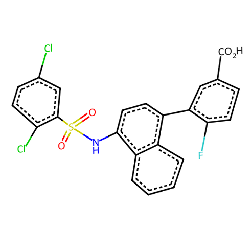 O=C(O)c1ccc(F)c(-c2ccc(NS(=O)(=O)c3cc(Cl)ccc3Cl)c3ccccc23)c1